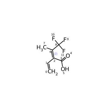 C=C/C(C(=O)O)=C(\C)C(F)(F)F